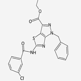 CCOC(=O)c1nn(Cc2ccccc2)c2nc(NC(=O)c3cccc(Cl)c3)sc12